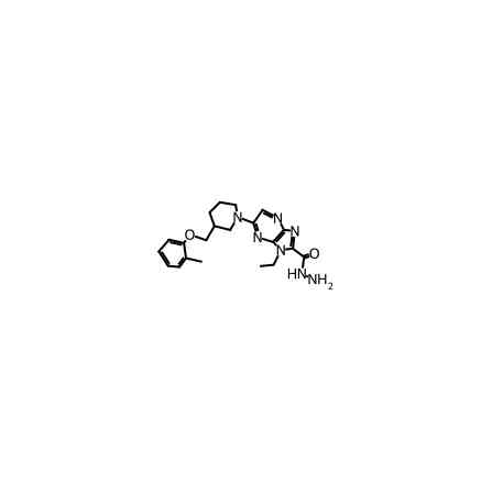 CCn1c(C(=O)NN)nc2ncc(N3CCCC(COc4ccccc4C)C3)nc21